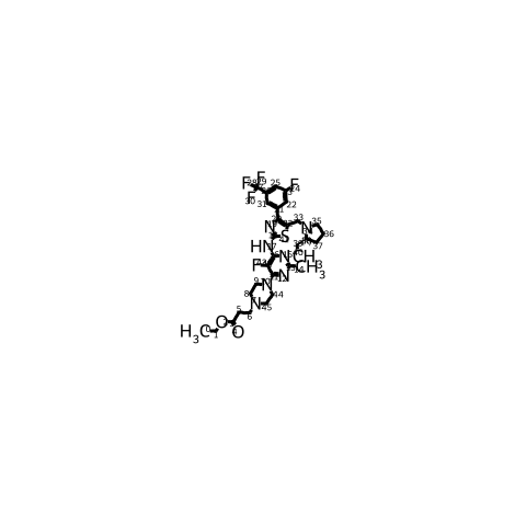 CCOC(=O)CCN1CCN(c2nc(C)nc(Nc3nc(-c4cc(F)cc(C(F)(F)F)c4)c(CN4CCC[C@H]4CC)s3)c2F)CC1